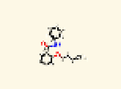 CCCCOc1ccccc1C(=O)Nc1c[c]ccc1